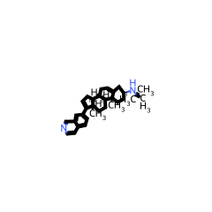 CC(C)(C)N[C@H]1CC[C@@]2(C)C(=CC[C@@H]3[C@@H]2CC[C@]2(C)C(c4ccc5ccncc5c4)=CC[C@@H]32)C1